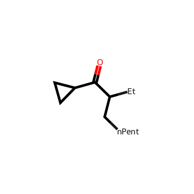 CCCCCCC(CC)C(=O)C1CC1